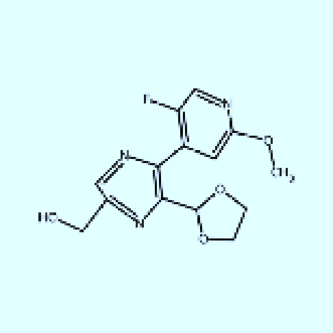 COc1cc(-c2ncc(CO)nc2C2OCCO2)c(F)cn1